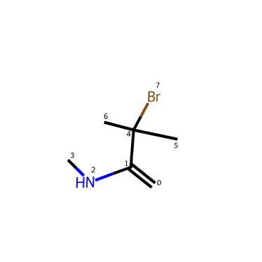 C=C(NC)C(C)(C)Br